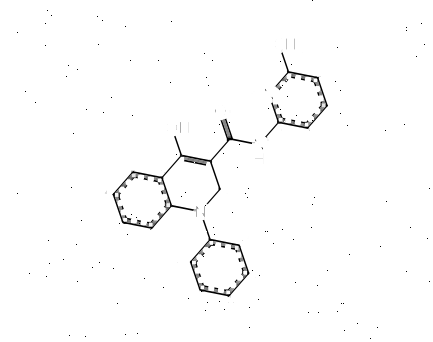 Cc1cccc(NC(=O)C2=C(O)c3ccccc3N(c3ccccc3)C2)n1